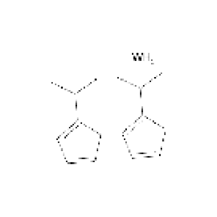 CC(C)C1=CC=CC1.CC(C)C1=CC=CC1.[WH2]